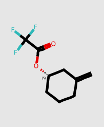 C=C1CCC[C@H](OC(=O)C(F)(F)F)C1